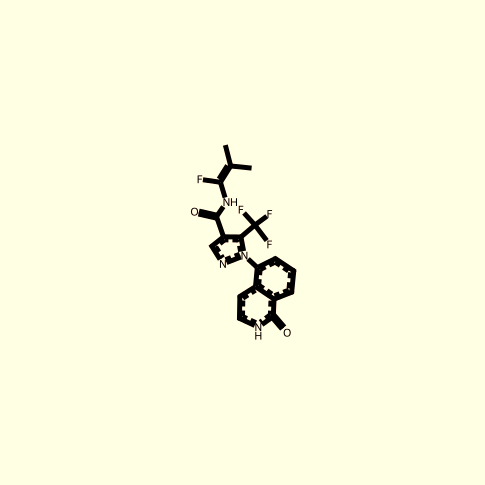 CC(C)=C(F)NC(=O)c1cnn(-c2cccc3c(=O)[nH]ccc23)c1C(F)(F)F